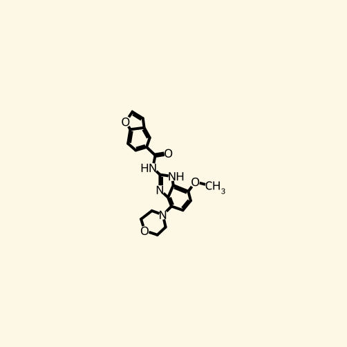 COc1ccc(N2CCOCC2)c2nc(NC(=O)c3ccc4occc4c3)[nH]c12